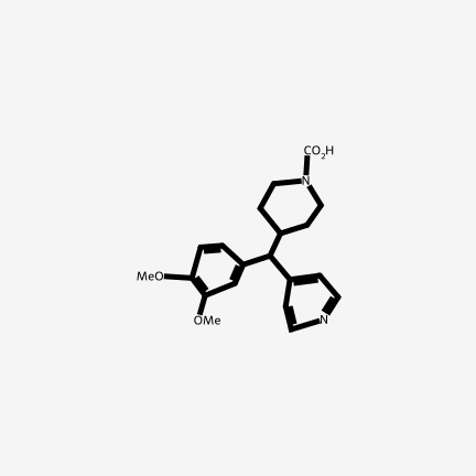 COc1ccc(C(c2ccncc2)C2CCN(C(=O)O)CC2)cc1OC